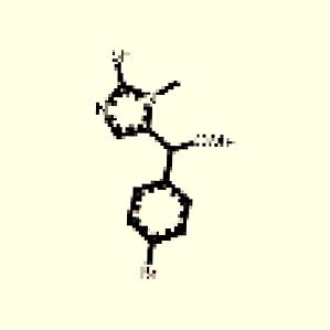 COC(c1ccc(Br)cc1)c1cnc(S)n1C